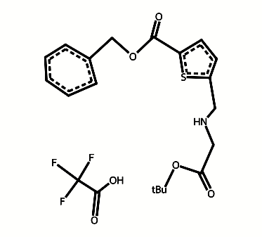 CC(C)(C)OC(=O)CNCc1ccc(C(=O)OCc2ccccc2)s1.O=C(O)C(F)(F)F